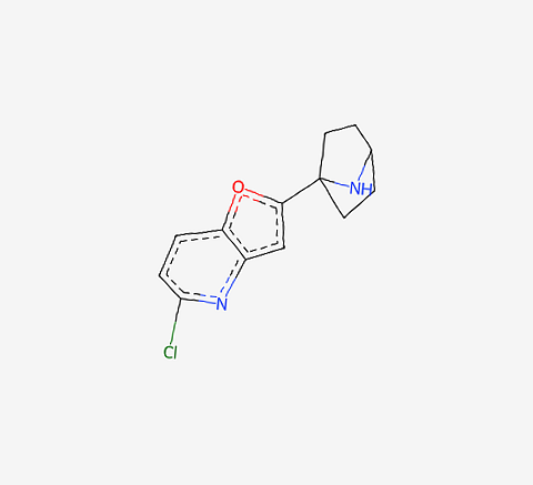 Clc1ccc2oc(C34CCC(CC3)N4)cc2n1